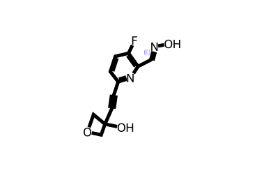 O/N=C/c1nc(C#CC2(O)COC2)ccc1F